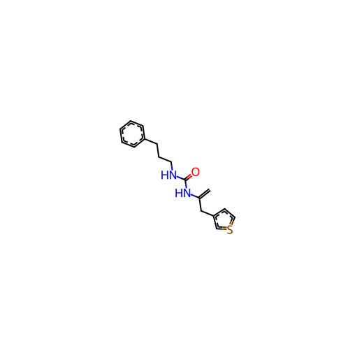 C=C(Cc1ccsc1)NC(=O)NCCCc1ccccc1